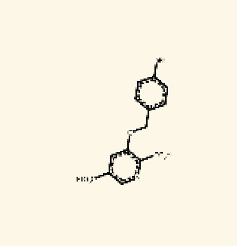 CCCc1ccc(COc2cc(C(=O)OCC)cnc2C(=O)O)cc1